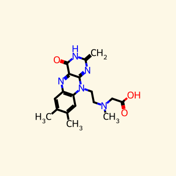 C=c1nc2c(c(=O)[nH]1)=Nc1cc(C)c(C)cc1N2CCN(C)CC(=O)O